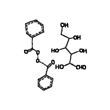 O=C(OOC(=O)c1ccccc1)c1ccccc1.O=CC(O)C(O)C(O)C(O)CO